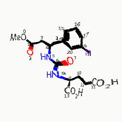 COC(=O)CC(NC(=O)N[C@@H](CCC(=O)O)C(=O)O)c1cccc(I)c1